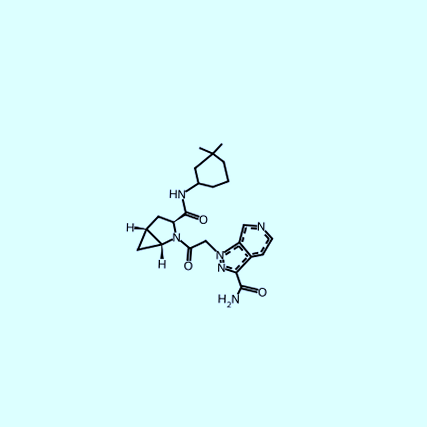 CC1(C)CCCC(NC(=O)[C@@H]2C[C@H]3C[C@H]3N2C(=O)Cn2nc(C(N)=O)c3ccncc32)C1